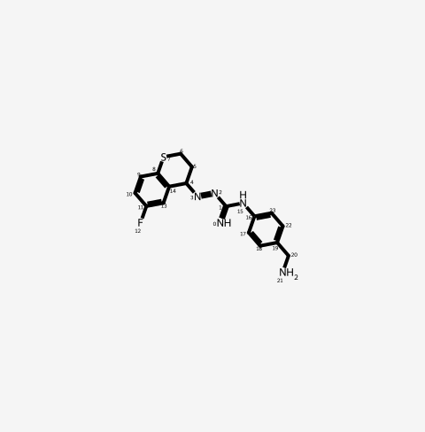 N=C(N=NC1CCSc2ccc(F)cc21)Nc1ccc(CN)cc1